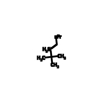 CCCC[SiH2]C(C)(C)C